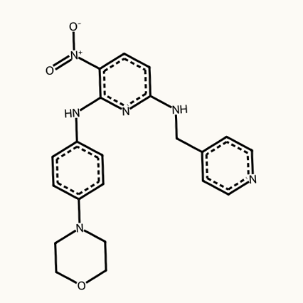 O=[N+]([O-])c1ccc(NCc2ccncc2)nc1Nc1ccc(N2CCOCC2)cc1